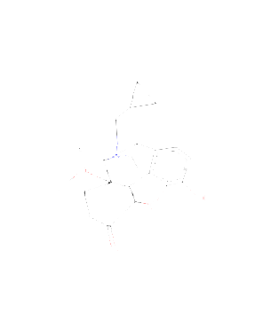 COC12CCC(=O)[C@@H]3Oc4c(O)ccc5c4[C@@]31CCN(CC1CC1)[C@@H]2C5